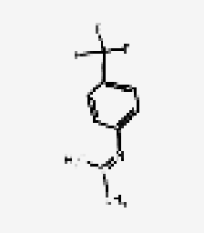 CS(C)=Nc1ccc(C(F)(F)F)cc1